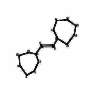 C1CCCC(N=NC2CCCCCC2)CC1